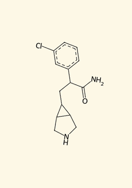 NC(=O)C(CC1C2CNCC21)c1cccc(Cl)c1